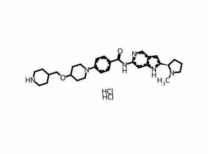 CN1CCC[C@@H]1c1cc2cnc(NC(=O)c3ccc(N4CCC(OCC5CCNCC5)CC4)cc3)cc2[nH]1.Cl.Cl